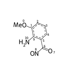 COc1cccc(C(=O)N=O)c1N